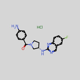 Cl.Nc1ccc(C(=O)N2CC[C@H](Nc3ncc4cc(F)ccc4n3)C2)cc1